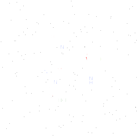 Cl.O=C(c1cccc(-n2ccc(=O)[nH]c2=O)c1)N1CCC(O[C@@H]2CCNC[C@H]2F)CC1